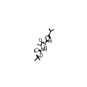 CC(NC(=O)OC(C)(C)C)C(=O)Nc1ncc(C(C)C)s1